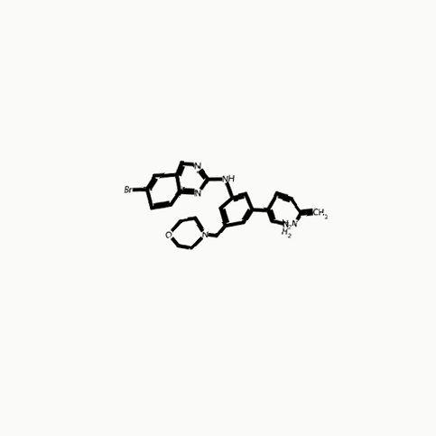 C=C(N)/C=C\C(=C/N)c1cc(CN2CCOCC2)cc(Nc2ncc3cc(Br)ccc3n2)c1